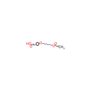 C/C=C/C(=O)OCCCCCCCCOc1ccc(/C=C/C(=O)O)cc1